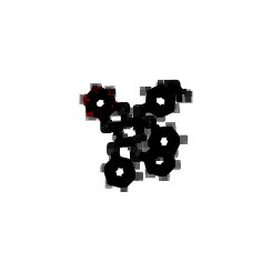 CCO.c1ccc(ON2P(Oc3ccccc3)N=P(Oc3ccccc3)(Oc3ccccc3)N(Oc3ccccc3)P2Oc2ccccc2)cc1